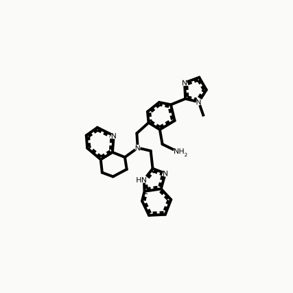 Cn1ccnc1-c1ccc(CN(Cc2nc3ccccc3[nH]2)C2CCCc3cccnc32)c(CN)c1